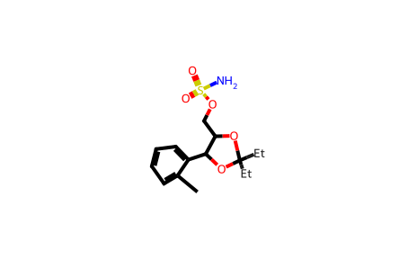 CCC1(CC)OC(COS(N)(=O)=O)C(c2ccccc2C)O1